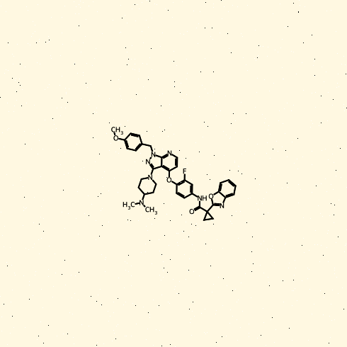 COc1ccc(Cn2nc(N3CCC(N(C)C)CC3)c3c(Oc4ccc(NC(=O)C5(c6nc7ccccc7o6)CC5)cc4F)ccnc32)cc1